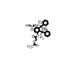 CC(=O)OCC(=O)Oc1cccc(C(C)(C)c2ccccc2)c1C(C)(C)c1ccccc1.[O]=[Ti]([OH])[OH]